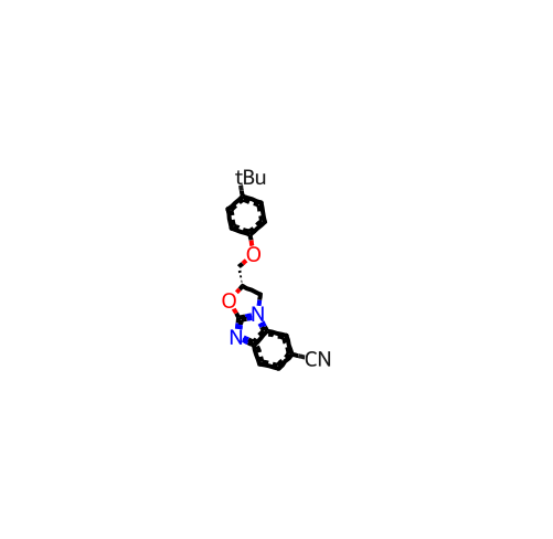 CC(C)(C)c1ccc(OC[C@@H]2Cn3c(nc4ccc(C#N)cc43)O2)cc1